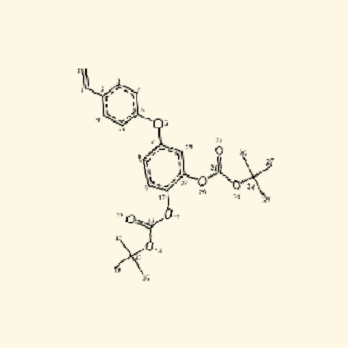 C=Cc1ccc(Oc2ccc(OC(=O)OC(C)(C)C)c(OC(=O)OC(C)(C)C)c2)cc1